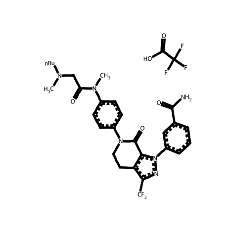 CCCCN(C)CC(=O)N(C)c1ccc(N2CCc3c(C(F)(F)F)nn(-c4cccc(C(N)=O)c4)c3C2=O)cc1.O=C(O)C(F)(F)F